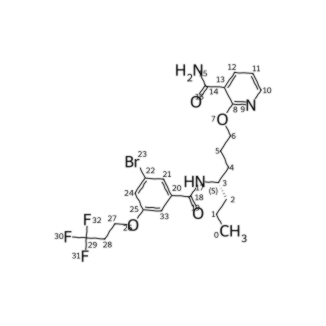 CCC[C@@H](CCCOc1ncccc1C(N)=O)NC(=O)c1cc(Br)cc(OCCC(F)(F)F)c1